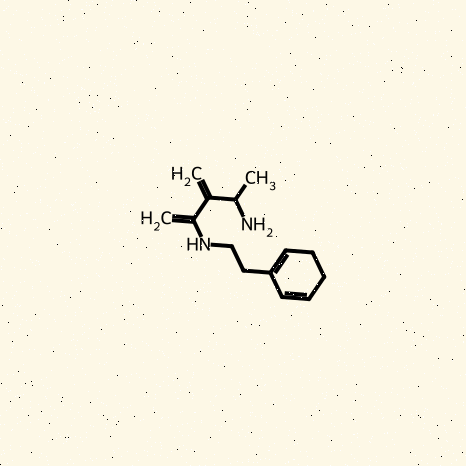 C=C(NCCC1=CCCC=C1)C(=C)C(C)N